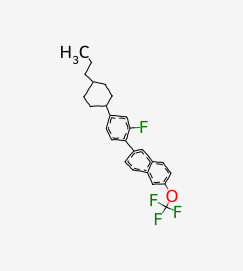 CCCC1CCC(c2ccc(-c3ccc4cc(OC(F)(F)F)ccc4c3)c(F)c2)CC1